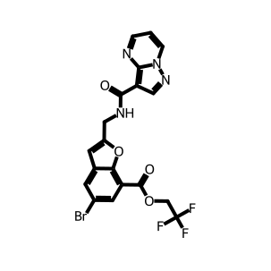 O=C(OCC(F)(F)F)c1cc(Br)cc2cc(CNC(=O)c3cnn4cccnc34)oc12